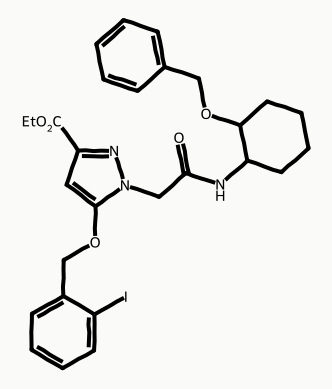 CCOC(=O)c1cc(OCc2ccccc2I)n(CC(=O)NC2CCCCC2OCc2ccccc2)n1